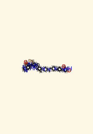 COc1cc(N2CCC(N(C)CC3CCN(c4ccc(-n5ccc(=O)[nH]c5=O)cc4)CC3)CC2)c(C)cc1Nc1ncc(Br)c(Nc2ccc3nccnc3c2P(C)(C)=O)n1